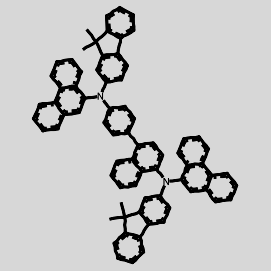 CC1(C)c2ccccc2-c2ccc(N(c3ccc(-c4ccc(N(c5ccc6c(c5)C(C)(C)c5ccccc5-6)c5cc6ccccc6c6ccccc56)c5ccccc45)cc3)c3cc4ccccc4c4ccccc34)cc21